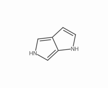 c1cc2c[nH]cc2[nH]1